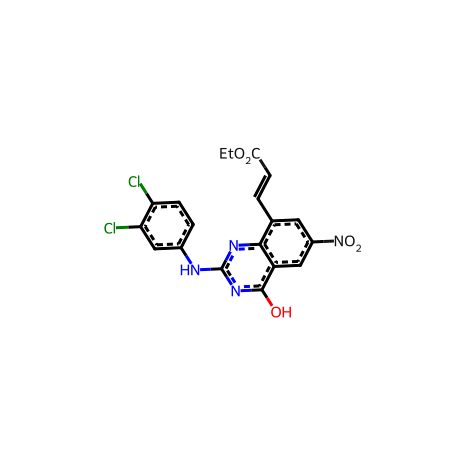 CCOC(=O)C=Cc1cc([N+](=O)[O-])cc2c(O)nc(Nc3ccc(Cl)c(Cl)c3)nc12